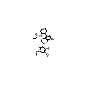 C=CC(=O)Nc1ccccc1-c1n[nH]c2c1CCC(c1c(F)c(OC)cc(OC)c1F)C2